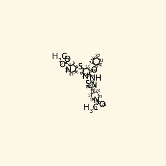 COC(=O)c1cc(Sc2cnc(Nc3nc(C4CCN(C(C)=O)CC4)cs3)c(Oc3ccccc3)c2)ccn1